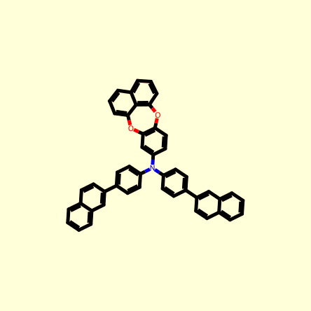 c1ccc2cc(-c3ccc(N(c4ccc(-c5ccc6ccccc6c5)cc4)c4ccc5c(c4)Oc4cccc6cccc(c46)O5)cc3)ccc2c1